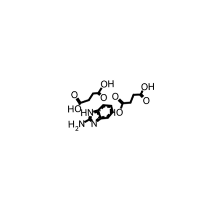 Nc1nc2ccccc2[nH]1.O=C(O)CCC(=O)O.O=C(O)CCC(=O)O